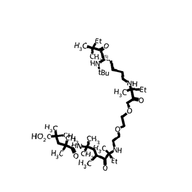 CCC(C)(C)C(=O)[C@H](CCCCNC(C)(CC)C(=O)COCCOCCNC(C)(CC)C(=O)C(C)CC(C)(C)NC(=O)C(C)(C)CC(C)(C)C(=O)O)NC(C)(C)C